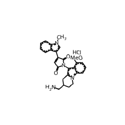 COc1cccc2c1c(N1C(=O)C=C(c3cn(C)c4ccccc34)C1=O)c1n2CCC(CN)C1.Cl